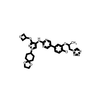 C[C@@H](Cn1cnnn1)Oc1cc(-c2cnc(Nc3cn(C4CCC5(CC4)OCCO5)nc3OC3COC3)nc2)ccc1Cl